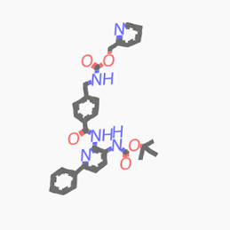 CC(C)(C)OC(=O)Nc1ccc(-c2ccccc2)nc1NC(=O)c1ccc(CNC(=O)OCc2ccccn2)cc1